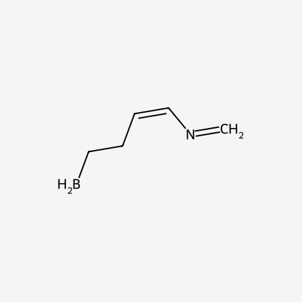 BCC/C=C\N=C